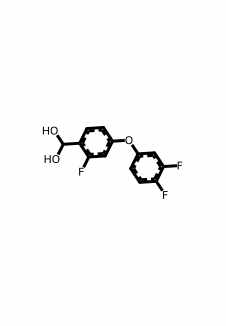 OC(O)c1ccc(Oc2ccc(F)c(F)c2)cc1F